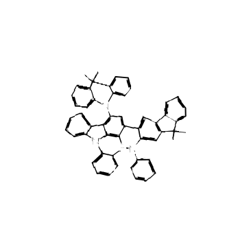 CC1(C)c2ccccc2-c2cc3c(cc21)N(c1ccccc1)B1c2ccccc2-n2c4ccccc4c4c(N5c6ccccc6C(C)(C)c6ccccc65)cc-3c1c42